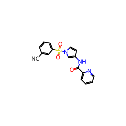 N#Cc1cccc(S(=O)(=O)n2ccc(NC(=O)c3ccccn3)c2)c1